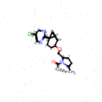 COC(=O)N1C(C)CCC1COC1CCC2(c3ncc(Cl)cn3)CC2C1